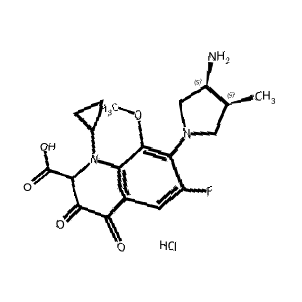 COc1c(N2C[C@@H](N)[C@@H](C)C2)c(F)cc2c1N(C1CC1)C(C(=O)O)C(=O)C2=O.Cl